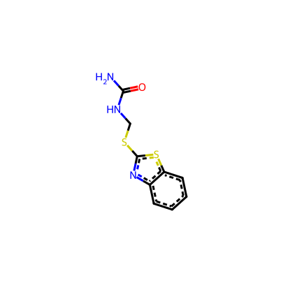 NC(=O)NCSc1nc2ccccc2s1